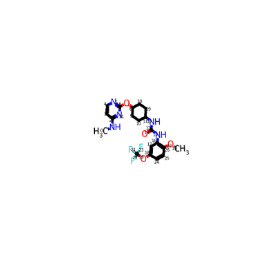 CNc1ccnc(OC2CCC(NC(=O)Nc3cc(OC(F)(F)F)ccc3OC)CC2)n1